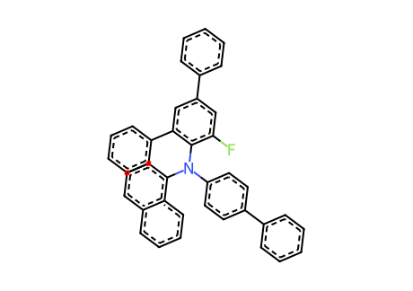 Fc1cc(-c2ccccc2)cc(-c2ccccc2)c1N(c1ccc(-c2ccccc2)cc1)c1cccc2ccccc12